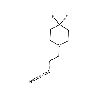 [N-]=[N+]=NCCN1CCC(F)(F)CC1